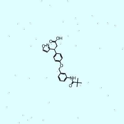 CC(C)(C)C(=O)Nc1cccc(COc2ccc([C@H](CC(=O)O)c3ccon3)cc2)c1